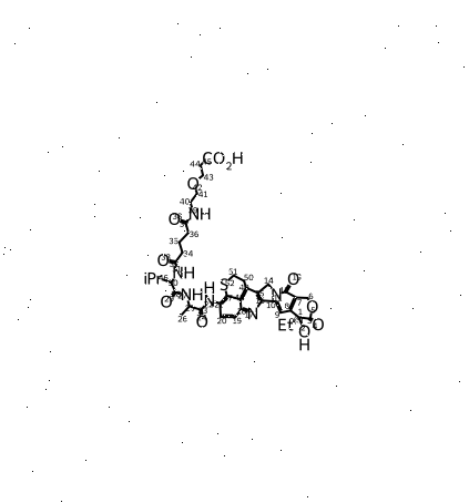 CC[C@@]1(O)C(=O)OCc2c1cc1n(c2=O)Cc2c-1nc1ccc(NC(=O)C(C)NC(=O)C(NC(=O)CCCC(=O)NCCOCCC(=O)O)C(C)C)c3c1c2CCS3